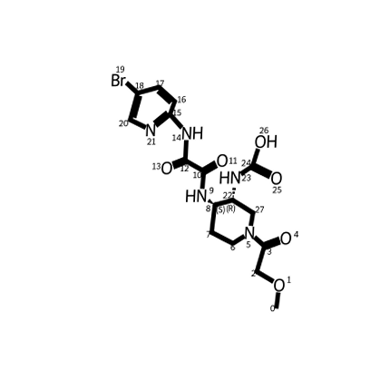 COCC(=O)N1CC[C@H](NC(=O)C(=O)Nc2ccc(Br)cn2)[C@H](NC(=O)O)C1